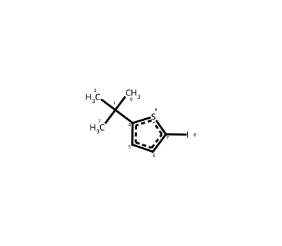 CC(C)(C)c1ccc(I)s1